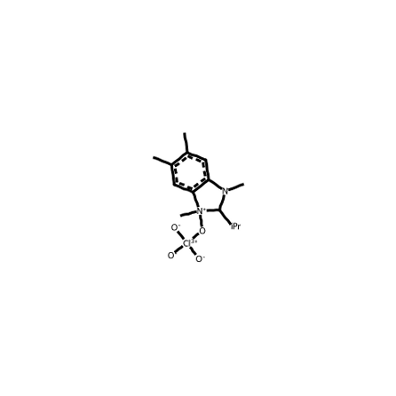 Cc1cc2c(cc1C)[N+](C)(O[Cl+3]([O-])([O-])[O-])C(C(C)C)N2C